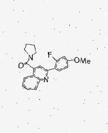 COc1ccc(-c2cc(C(=O)N3CCCC3)c3ccccc3n2)c(F)c1